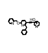 O[C@]1(C#Cc2ccc(OCc3ccccn3)nc2Cc2ccccc2)CN2CCC1CC2